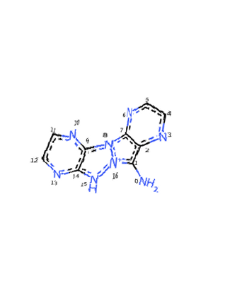 Nc1c2nccnc2n2c3nccnc3[nH][n+]12